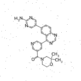 CC1(C)CN(C(=O)c2cncc(-c3ncnc4ccc(-c5cnc(N)nc5)cc34)c2)CCO1